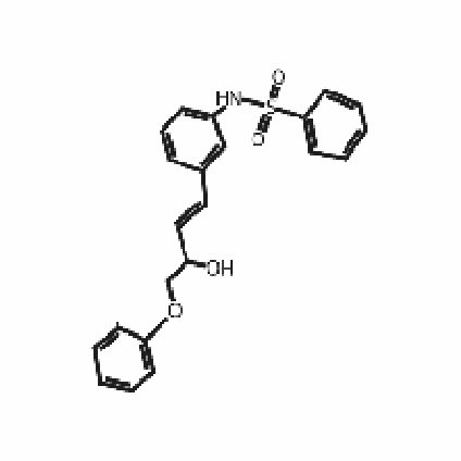 O=S(=O)(Nc1cccc(/C=C/C(O)COc2[c]cccc2)c1)c1ccccc1